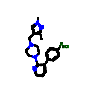 Cc1nn(C)cc1CN1CCN(c2ncccc2-c2ccc(F)cc2)CC1.Cl